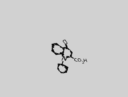 O=C(O)c1cc(=O)c2ccccc2n1-c1ccccc1